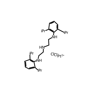 CC(C)c1cccc(C(C)C)c1NCCNCCNc1c(C(C)C)cccc1C(C)C.[Cl-].[Cl-].[Pt+2]